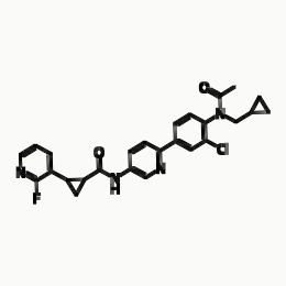 CC(=O)N(CC1CC1)c1ccc(-c2ccc(NC(=O)C3CC3c3cccnc3F)cn2)cc1Cl